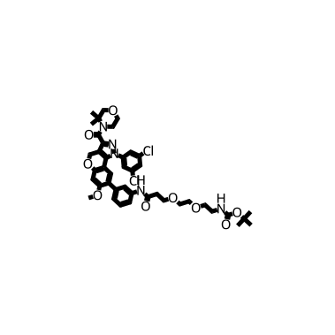 COc1cc2c(cc1-c1cccc(NC(=O)CCOCCOCCNC(=O)OC(C)(C)C)c1)-c1c(c(C(=O)N3CCOCC3(C)C)nn1-c1cc(Cl)cc(Cl)c1)CO2